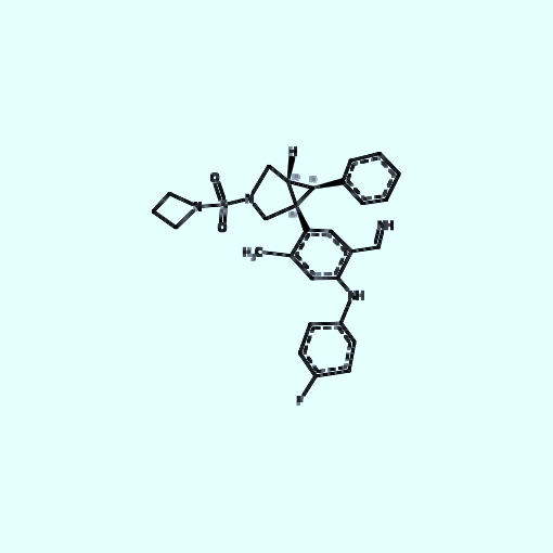 Cc1cc(Nc2ccc(F)cc2)c(C=N)cc1[C@@]12CN(S(=O)(=O)N3CCC3)C[C@@H]1[C@H]2c1ccccc1